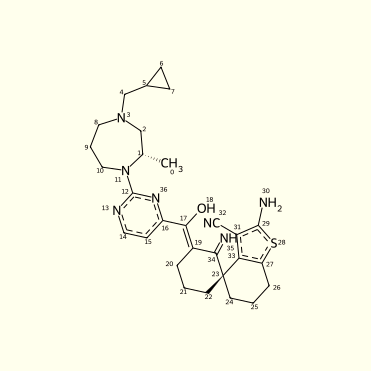 C[C@H]1CN(CC2CC2)CCCN1c1nccc(/C(O)=C2\CCC[C@@]3(CCCc4sc(N)c(C#N)c43)C2=N)n1